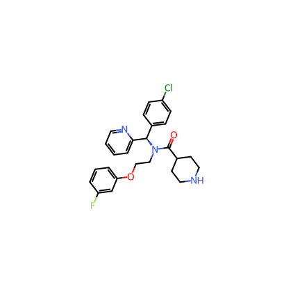 O=C(C1CCNCC1)N(CCOc1cccc(F)c1)[C@H](c1ccc(Cl)cc1)c1ccccn1